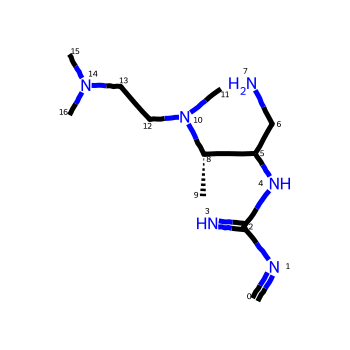 C=NC(=N)NC(CN)[C@H](C)N(C)CCN(C)C